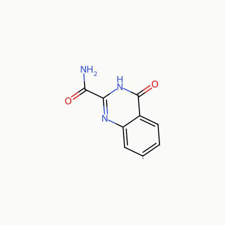 NC(=O)c1nc2c[c]ccc2c(=O)[nH]1